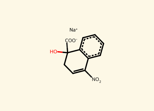 O=C([O-])C1(O)CC=C([N+](=O)[O-])c2ccccc21.[Na+]